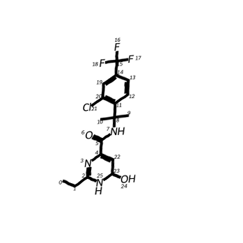 CCC1=NC(C(=O)NC(C)(C)c2ccc(C(F)(F)F)cc2Cl)=CC(O)N1